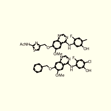 COc1cc2c(Nc3cc(O)c(C)cc3F)ncnc2cc1OCc1csc(NC(C)=O)n1.COc1cc2c(Nc3cc(O)c(Cl)cc3F)ncnc2cc1OCc1ccccc1